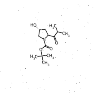 CC(C)C(=O)C1C[C@@H](O)CN1C(=O)OC(C)(C)C